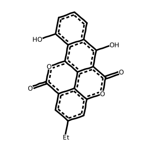 CCc1cc2oc(=O)c3c(O)c4cccc(O)c4c4oc(=O)c(c1)c2c34